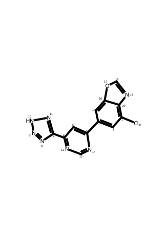 Clc1cc(-c2cc(-c3nn[nH]n3)ncn2)cc2ocnc12